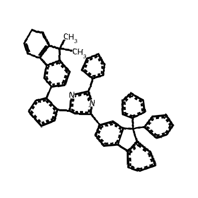 CC1(C)C2=C(C=CCC2)c2cc(-c3ccccc3-c3cc(-c4ccc5c(c4)C(c4ccccc4)(c4ccccc4)c4ccccc4-5)nc(-c4ccccc4)n3)ccc21